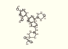 COc1ncc(-c2nc(N3CCOCC3)c3sc(CN4CCC(S(C)(=O)=O)CC4)cc3n2)c(OC)n1